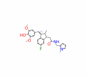 COc1cc(/C=C2\c3ccc(F)cc3C(CC(=O)NCc3cccn3C)C2C)cc(OC)c1O